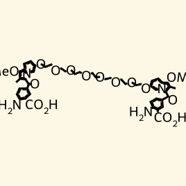 COc1c(C)c(C(=O)c2ccc(N)c(C(=O)O)c2)n2cc(OCCOCCOCCOCCOCCOCCOCCOc3ccc4c(OC)c(C)c(C(=O)c5ccc(N)c(C(=O)O)c5)n4c3)ccc12